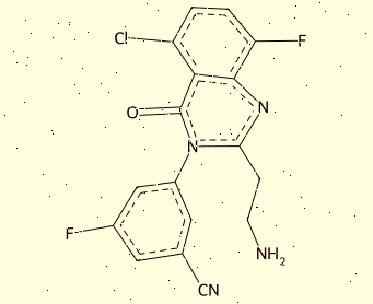 N#Cc1cc(F)cc(-n2c(CCN)nc3c(F)ccc(Cl)c3c2=O)c1